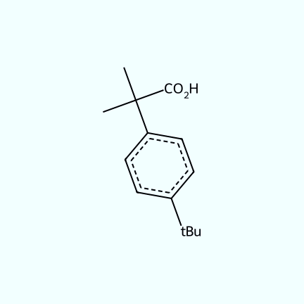 CC(C)(C)c1ccc(C(C)(C)C(=O)O)cc1